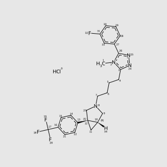 Cl.Cn1c(CCCCN2C[C@@H]3C[C@]3(c3ccc(C(F)(F)F)cc3)C2)nnc1-c1cccc(F)c1